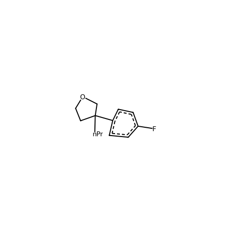 CCCC1(c2ccc(F)cc2)CCOC1